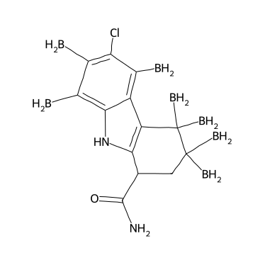 Bc1c(Cl)c(B)c2c3c([nH]c2c1B)C(C(N)=O)CC(B)(B)C3(B)B